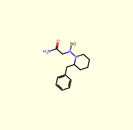 NC(=O)CN(N=O)N1CCCCC1Cc1ccccc1